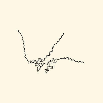 CCCCCCCCCCCCCCCCCC[N+](C)(C)CC(O)CN(CCN(CCN(CC(O)C[N+](C)(C)CCCCCCCCCCCCCCCCCC)CC(O)C[N+](C)(C)CCCCCCCCCCCCCCCCCC)CC(O)C[N+](C)(C)C)CC(O)C[N+](C)(C)C